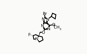 COc1nc(OC[C@@]23CCCN2C[C@H](F)C3)nc2nc(Br)n(C3CCC3)c12